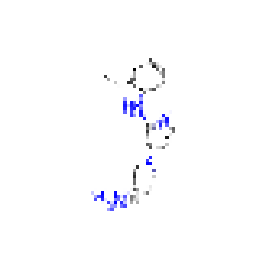 CCc1ccccc1Nc1cc(N2CC[C@H](N)C2)ccn1